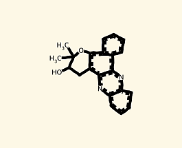 CC1(C)Oc2c(c3nc4ccccc4nc3c3ccccc23)CC1O